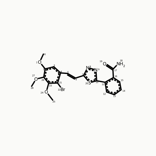 COc1cc(C=Cc2nnc(-c3ccccc3C(N)=O)s2)c(Br)c(OC)c1OC